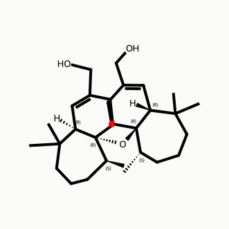 C[C@H]1CCCC(C)(C)[C@H]2C=C(CO)CC[C@]21O[C@@]12CCC(CO)=C[C@@H]1C(C)(C)CCC[C@@H]2C